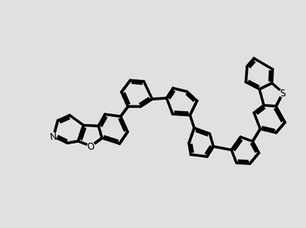 c1cc(-c2cccc(-c3cccc(-c4ccc5sc6ccccc6c5c4)c3)c2)cc(-c2cccc(-c3ccc4oc5cnccc5c4c3)c2)c1